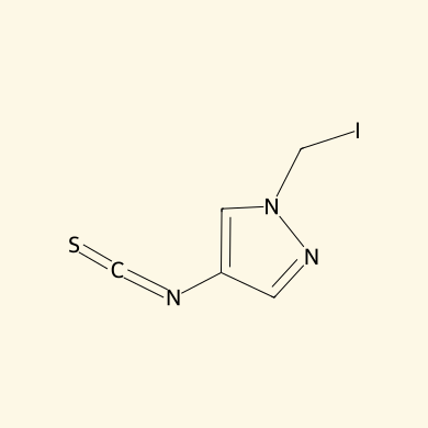 S=C=Nc1cnn(CI)c1